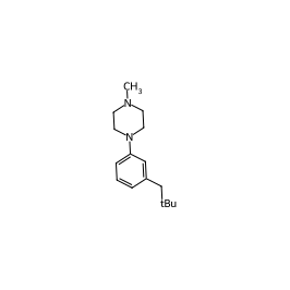 CN1CCN(c2cccc(CC(C)(C)C)c2)CC1